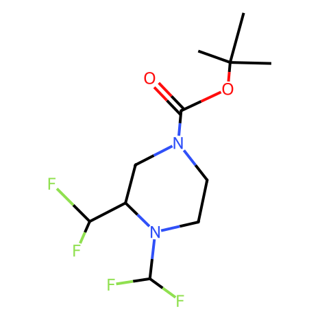 CC(C)(C)OC(=O)N1CCN(C(F)F)C(C(F)F)C1